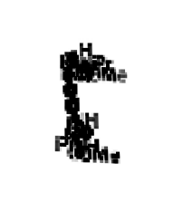 COC(=O)N[C@H](C(=O)N1CCC[C@H]1c1ncc(-c2ccc(-c3ccc(-c4cnc([C@H]5[C@H](C(=O)NN(C(=O)OC)C(C)C)C6CC[C@@H]65)[nH]4)cc3)cc2)[nH]1)C(C)C